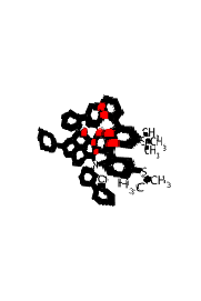 CC(C)Sc1ccc(N(c2cc(N(c3ccc([Si](C)(C)C)cc3-c3ccccc3)c3cccc4c3oc3ccccc34)c3ccc4cc(C5CCCCC5)cc5ccc2c3c54)c2cccc3c2oc2ccccc23)c(-c2ccccc2)c1